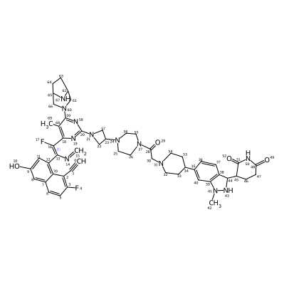 C#Cc1c(F)ccc2cc(O)cc(/C(N=C)=C(\F)c3nc(N4CC(N5CCN(C(=O)CN6CCC(c7ccc8c(c7)N(C)NC8C7CCC(=O)NC7=O)CC6)CC5)C4)nc(N4CC5CCC(C4)N5)c3C)c12